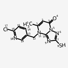 Cc1cc(=O)n2nc(S)nc2n1Cc1ccc(Cl)nc1